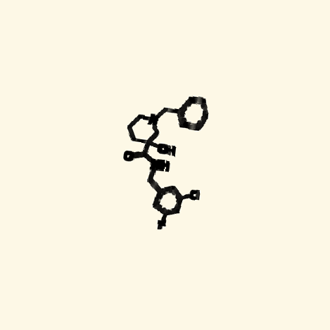 O=C(NCc1cc(F)cc(Cl)c1)C1(O)CCCN(Cc2ccccc2)C1